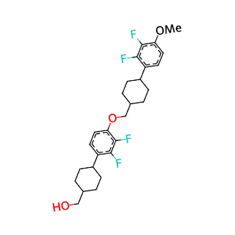 COc1ccc(C2CCC(COc3ccc(C4CCC(CO)CC4)c(F)c3F)CC2)c(F)c1F